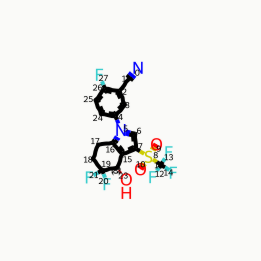 N#Cc1cc(-n2cc(S(=O)(=O)C(F)(F)F)c3c2CCC(F)(F)[C@H]3O)ccc1F